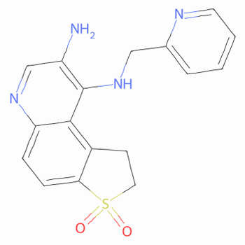 Nc1cnc2ccc3c(c2c1NCc1ccccn1)CCS3(=O)=O